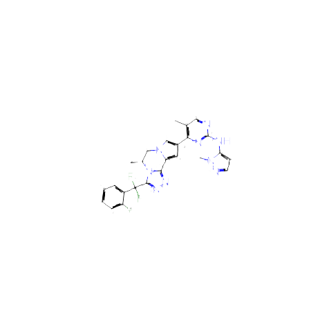 Cc1cnc(Nc2ccnn2C)nc1-c1cc2n(c1)C[C@H](C)n1c-2nnc1C(F)(F)c1ccccc1Cl